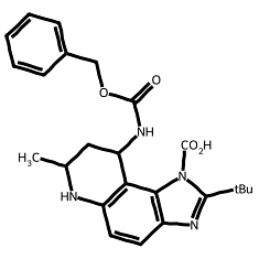 CC1CC(NC(=O)OCc2ccccc2)c2c(ccc3nc(C(C)(C)C)n(C(=O)O)c23)N1